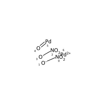 O=[N+]([O-])[O-].O=[N+]([O-])[O-].[O]=[Pd].[Pd+2]